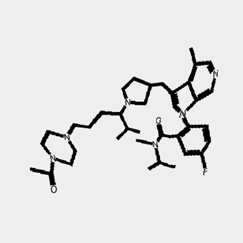 CC(=O)N1CCN(CCCC(C(C)C)N2CCC(Cc3cn(-c4ccc(F)cc4C(=O)N(C)C(C)C)c4cncc(C)c34)C2)CC1